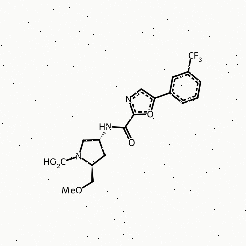 COC[C@@H]1C[C@@H](NC(=O)c2ncc(-c3cccc(C(F)(F)F)c3)o2)CN1C(=O)O